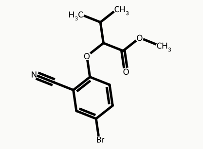 COC(=O)C(Oc1ccc(Br)cc1C#N)C(C)C